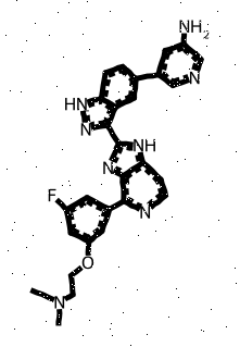 CN(C)CCOc1cc(F)cc(-c2nccc3[nH]c(-c4n[nH]c5ccc(-c6cncc(N)c6)cc45)nc23)c1